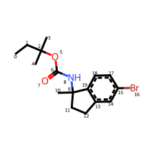 CCC(C)(C)OC(=O)NC1(C)CCc2cc(Br)ccc21